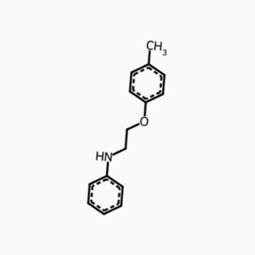 Cc1ccc(OCCNc2ccccc2)cc1